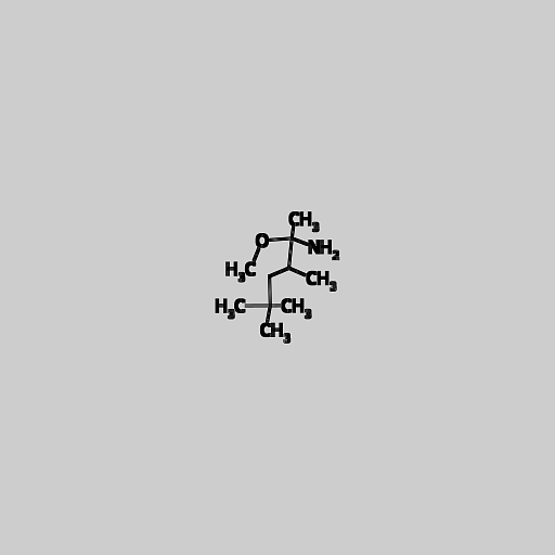 COC(C)(N)C(C)CC(C)(C)C